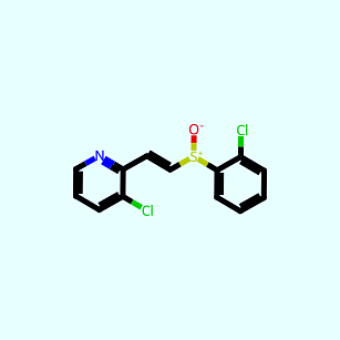 [O-][S+](/C=C/c1ncccc1Cl)c1ccccc1Cl